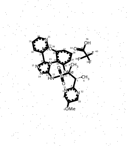 COc1cnc([C@@H](C)[C@H](C)S(=O)(=O)Nc2nnc(-c3cccnc3)n2-c2c(OC)cccc2OC)nc1.O=C(O)C(F)(F)F